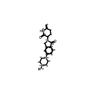 C=C1CCC(N2Cc3cc(N4CCN(Br)CC4)ccc3C2=O)C(=O)N1